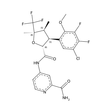 COc1c([C@H]2[C@H](C(=O)Nc3ccnc(C(N)=O)c3)O[C@@](C)(C(F)(F)F)[C@H]2C)cc(Cl)c(F)c1F